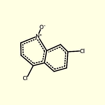 [O-][n+]1ccc(Cl)c2ccc(Cl)cc21